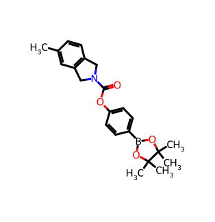 Cc1ccc2c(c1)CN(C(=O)Oc1ccc(B3OC(C)(C)C(C)(C)O3)cc1)C2